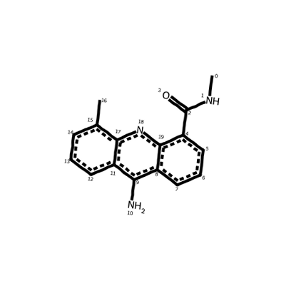 CNC(=O)c1cccc2c(N)c3cccc(C)c3nc12